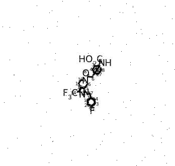 O=C(O)NC12CCC(CC(=O)N3CCc4c(C(F)(F)F)nn(Cc5ccc(F)cc5)c4C3)(CC1)CC2